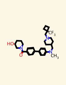 CN(CC1CCN(CC2(C(F)(F)F)CCC2)CC1)c1ccc(-c2ccc(C(=O)N3CCC[C@@H](O)C3)cc2)cc1